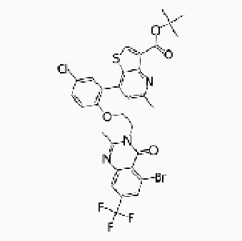 Cc1cc(-c2cc(Cl)ccc2OCCn2c(C)nc3cc(C(F)(F)F)cc(Br)c3c2=O)c2scc(C(=O)OC(C)(C)C)c2n1